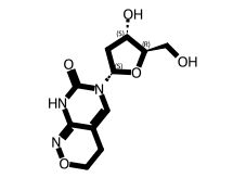 O=C1NC2=NOCCC2=CN1[C@@H]1C[C@H](O)[C@@H](CO)O1